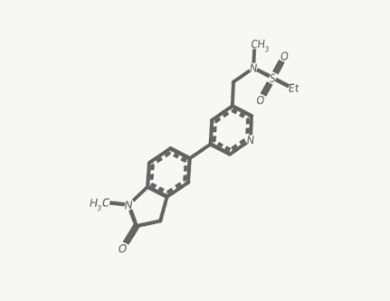 CCS(=O)(=O)N(C)Cc1cncc(-c2ccc3c(c2)CC(=O)N3C)c1